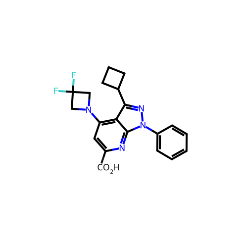 O=C(O)c1cc(N2CC(F)(F)C2)c2c(C3CCC3)nn(-c3ccccc3)c2n1